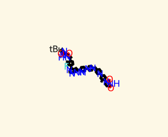 Cc1cc(N2CCC(CN3CCN(c4ccc(-c5cc6c(-c7ccc(C(C)NC(=O)c8noc(C(C)(C)C)n8)c(C)c7F)ncnc6[nH]5)nc4)CC3)CC2)ccc1N1CCC(=O)NC1=O